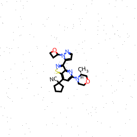 C[C@@H]1COCCN1c1cc(C2(C#N)CCCC2)c2snc(-c3ccnn3C3CCO3)c2n1